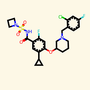 O=C(NS(=O)(=O)N1CCC1)c1cc(C2CC2)c(OC2CCCN(Cc3ccc(F)cc3Cl)C2)cc1F